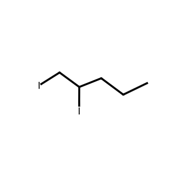 CCCC(I)CI